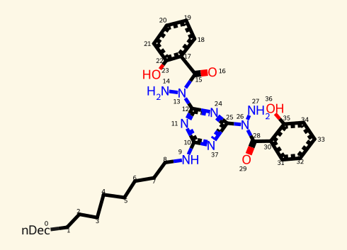 CCCCCCCCCCCCCCCCCCNc1nc(N(N)C(=O)c2ccccc2O)nc(N(N)C(=O)c2ccccc2O)n1